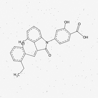 CCc1cccc(Cl)c1/C=C1/C(=O)N(c2ccc(C(=O)O)c(O)c2)c2cccc(C)c21